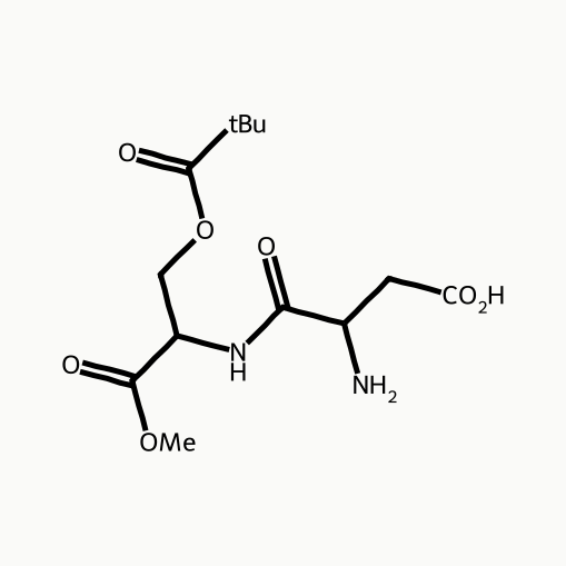 COC(=O)C(COC(=O)C(C)(C)C)NC(=O)C(N)CC(=O)O